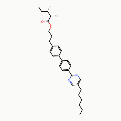 CCCCCCc1cnc(-c2ccc(-c3ccc(CCCOC(=O)[C@@H](Cl)[C@@H](C)CC)cc3)cc2)nc1